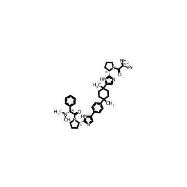 CC(C)[C@H](N)C(=O)N1CCC[C@H]1c1ncc(C2(C)CCC(C)(c3ccc(-c4cnc([C@@H]5CCCN5C(=O)[C@@H](c5ccccc5)N(C)C)[nH]4)cc3)CC2)[nH]1